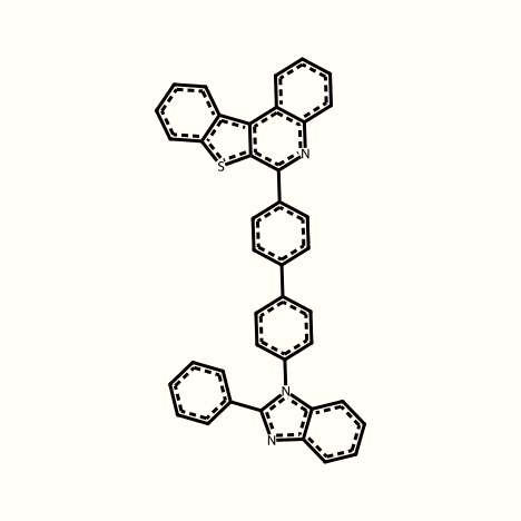 c1ccc(-c2nc3ccccc3n2-c2ccc(-c3ccc(-c4nc5ccccc5c5c4sc4ccccc45)cc3)cc2)cc1